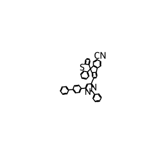 N#Cc1ccc2c(c1)C1(c3ccccc3Sc3ccccc31)c1cc(-c3cc(-c4ccc(-c5ccccc5)cc4)nc(-c4ccccc4)n3)ccc1-2